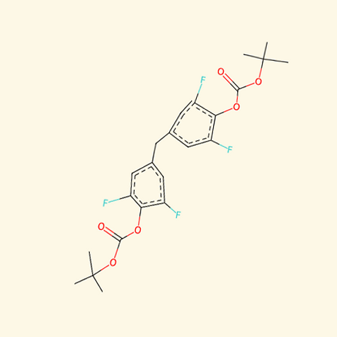 CC(C)(C)OC(=O)Oc1c(F)cc(Cc2cc(F)c(OC(=O)OC(C)(C)C)c(F)c2)cc1F